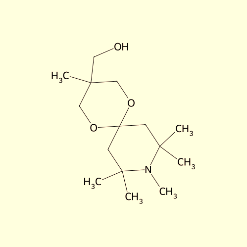 CN1C(C)(C)CC2(CC1(C)C)OCC(C)(CO)CO2